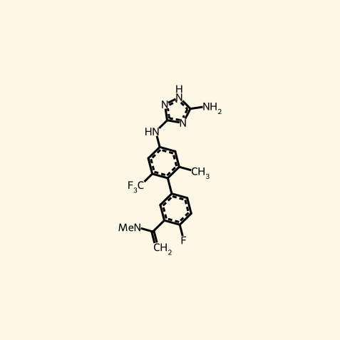 C=C(NC)c1cc(-c2c(C)cc(Nc3n[nH]c(N)n3)cc2C(F)(F)F)ccc1F